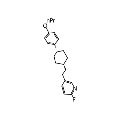 CCCOc1ccc([C@H]2CC[C@H](CCc3ccc(F)nc3)CC2)cc1